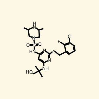 CC1CN(S(=O)(=O)Nc2cc(NC(C)(C)CO)nc(SCc3cccc(Cl)c3F)n2)CC(C)N1